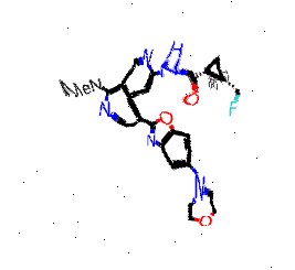 CNc1ncc(-c2nc3cc(N4CCOCC4)ccc3o2)c2cc(NC(=O)[C@@H]3C[C@@H]3CF)ncc12